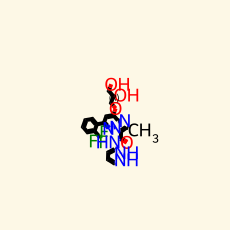 Cc1nc2c(OC[C@H](O)CO)cc(-c3ccccc3C(F)(F)F)nn2c1C(=O)NC1=CC=CNN1